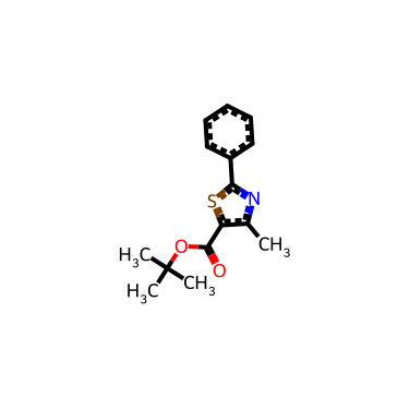 Cc1nc(-c2ccccc2)sc1C(=O)OC(C)(C)C